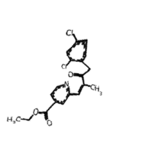 CCOC(=O)c1ccnc(/C=C(/C)C(=O)Cc2ccc(Cl)cc2Cl)c1